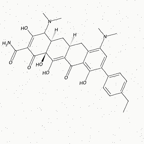 CCc1ccc(-c2cc(N(C)C)c3c(c2O)C(=O)C2=C(O)[C@]4(O)C(=O)C(C(N)=O)=C(O)C(N(C)C)[C@H]4C[C@H]2C3)cc1